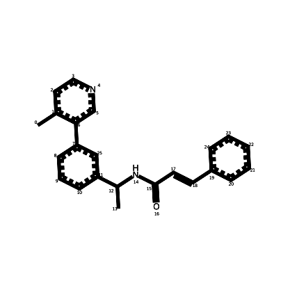 Cc1ccncc1-c1cccc(C(C)NC(=O)C=Cc2ccccc2)c1